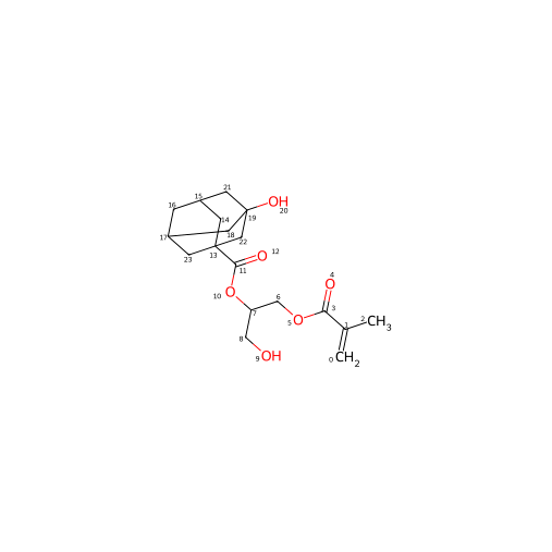 C=C(C)C(=O)OCC(CO)OC(=O)C12CC3CC(CC(O)(C3)C1)C2